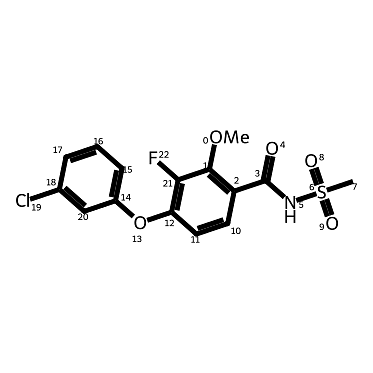 COc1c(C(=O)NS(C)(=O)=O)ccc(Oc2cccc(Cl)c2)c1F